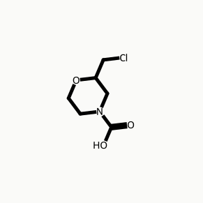 O=C(O)N1CCOC(CCl)C1